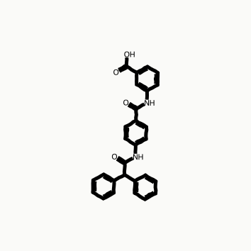 O=C(O)c1cccc(NC(=O)c2ccc(NC(=O)C(c3ccccc3)c3ccccc3)cc2)c1